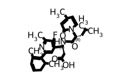 CC1=C(c2cc([C@H](CC(=O)O)NC(=O)[C@@H](CC(C)C)n3ccc(C)cc3=O)c(F)c(C)n2)C(C)CC=C1